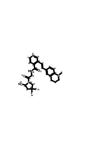 CN1CCCc2cc(C=Cc3cnccc3C(=O)NCC(=O)N3CC(F)(F)CC3C#N)ccc21